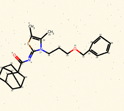 Cc1s/c(=N\C(=O)C23CC4CC(CC(C4)C2)C3)n(CCCOCc2ccccc2)c1C